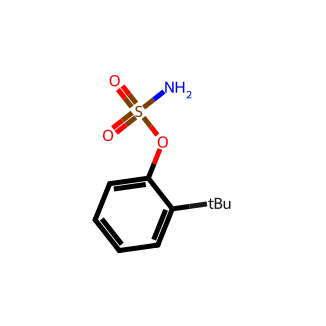 CC(C)(C)c1ccccc1OS(N)(=O)=O